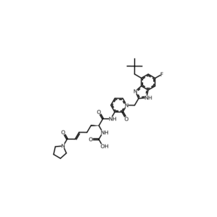 CC(C)(C)Cc1cc(F)cc2[nH]c(Cn3cccc(NC(=O)[C@H](CC/C=C/C(=O)N4CCCC4)NC(=O)O)c3=O)nc12